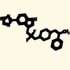 CC(CN1CCN(CC(F)(F)Cc2c[nH]c3ccc(-c4nc[nH]n4)cc23)CC1)c1ccccc1